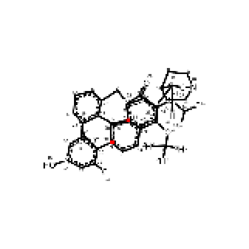 [2H]C([2H])([2H])Oc1cc([C@H](Cc2c(Cl)c[n+](O)cc2Cl)c2c(CN(C(=O)O[C@H]3CN4CCC3CC4)c3ccccc3F)cccc2C(=O)[O-])ccc1OC(F)F